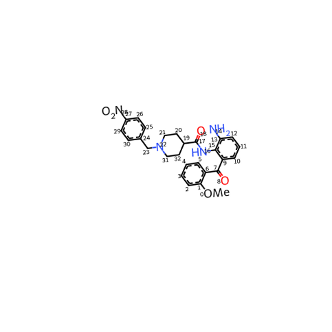 COc1ccccc1C(=O)c1cccc(N)c1NC(=O)C1CCN(Cc2ccc([N+](=O)[O-])cc2)CC1